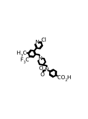 Cc1cc(-c2ccc(Cl)nc2)c(CN2CCC3(CC2)CN(c2ccc(C(=O)O)cc2)C(=O)O3)cc1C(F)(F)F